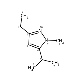 CCc1cc(C(C)C)n(C)n1